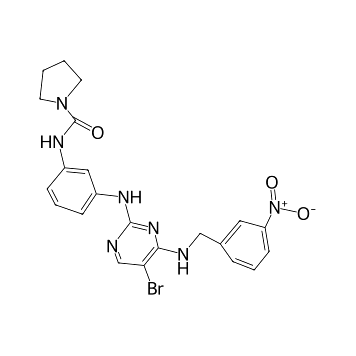 O=C(Nc1cccc(Nc2ncc(Br)c(NCc3cccc([N+](=O)[O-])c3)n2)c1)N1CCCC1